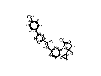 C[C@@H](Nc1nccc(N2C(=O)OC[C@]2(C)C2CC2)n1)c1nc(-c2ccc(Cl)cc2)no1